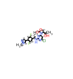 C[C@H](Nc1nc(Cl)cc(N2C(=O)OCC2[C@@H](C)O)n1)c1cc(F)c(-c2cnn(C)c2)cc1F